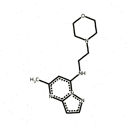 Cc1cc(NCCN2CCOCC2)n2nccc2n1